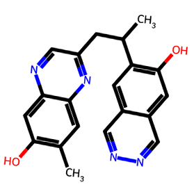 Cc1cc2nc(CC(C)c3cc4cnncc4cc3O)cnc2cc1O